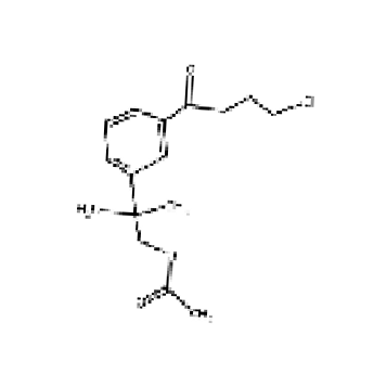 CC(=O)OCC(C)(C)c1cccc(C(=O)CCCCl)c1